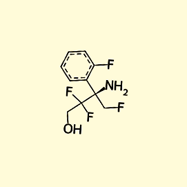 N[C@](CF)(c1ccccc1F)C(F)(F)CO